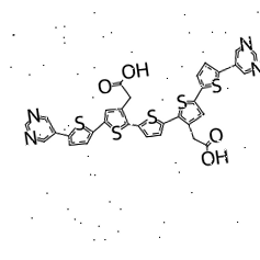 O=C(O)Cc1cc(-c2ccc(-c3cncnc3)s2)sc1-c1ccc(-c2sc(-c3ccc(-c4cncnc4)s3)cc2CC(=O)O)s1